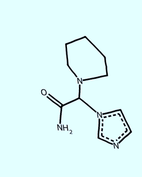 NC(=O)C(N1CCCCC1)n1ccnc1